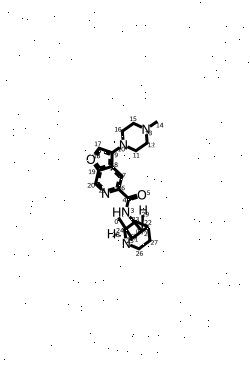 C[C@H]1[C@H](NC(=O)c2cc3c(N4CCN(C)CC4)coc3cn2)C2CCN1CC2